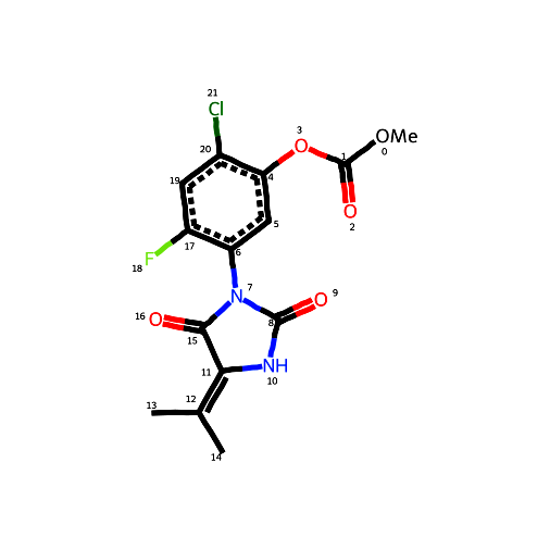 COC(=O)Oc1cc(N2C(=O)NC(=C(C)C)C2=O)c(F)cc1Cl